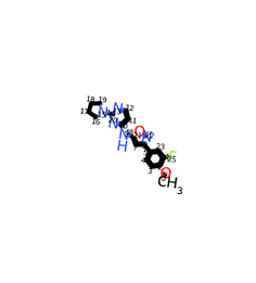 COc1ccc(-c2cc(Nc3ccnc(N4CCCC4)n3)on2)cc1F